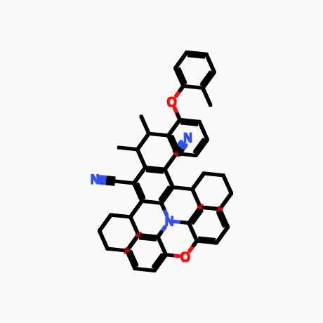 Cc1ccccc1Oc1ccccc1C(C)C(C)c1c(C#N)c(C2CCCCC2)c(N2c3ccccc3Oc3ccccc32)c(C2CCCCC2)c1C#N